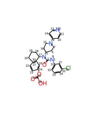 CN(C(=O)N(C1CCN(c2ccncc2)CC1)C1CCCc2ccc(OC(=O)O)cc21)c1cccc(Cl)c1